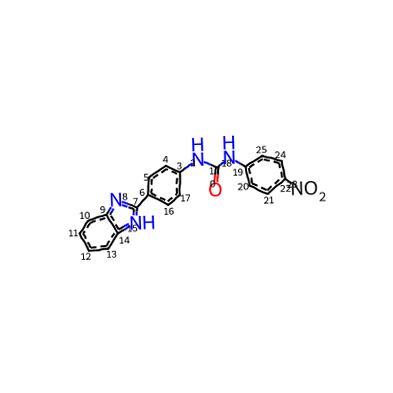 O=C(Nc1ccc(-c2nc3ccccc3[nH]2)cc1)Nc1ccc([N+](=O)[O-])cc1